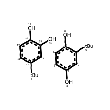 CC(C)(C)c1cc(O)ccc1O.CC(C)(C)c1ccc(O)c(O)c1